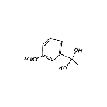 COc1cccc(C(C)(O)O)c1